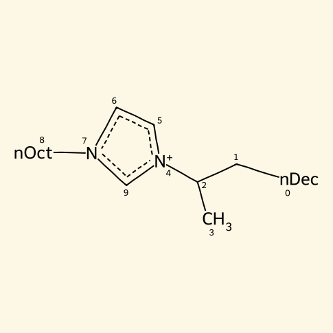 CCCCCCCCCCCC(C)[n+]1ccn(CCCCCCCC)c1